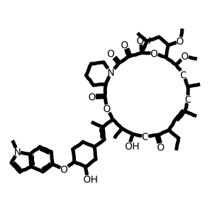 CCC1/C=C(\C)CC(C)CC(OC)C2OC(O)(C(=O)C(=O)N3CCCCC3C(=O)OC(C(C)=CC3CCC(Oc4ccc5c(ccn5C)c4)C(O)C3)C(C)C(O)CC1=O)C(C)CC2OC